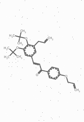 C=CCOc1ccc(C(=O)C=Cc2cc(CC=C)c(OC(C)(C)C)c(OC(C)(C)C)c2)cc1